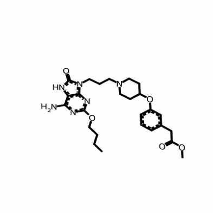 CCCCOc1nc(N)c2[nH]c(=O)n(CCCN3CCC(Oc4cccc(CC(=O)OC)c4)CC3)c2n1